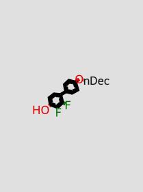 CCCCCCCCCCOc1ccc(-c2ccc(O)c(F)c2F)cc1